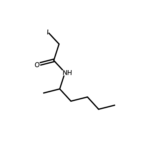 CCCCC(C)NC(=O)CI